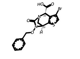 O=C(O)[C@@H]1c2c(Br)csc2[C@@H]2CN1C(=O)N2OCc1ccccc1